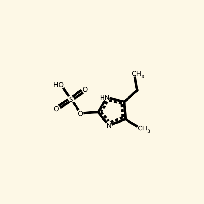 CCc1[nH]c(OS(=O)(=O)O)nc1C